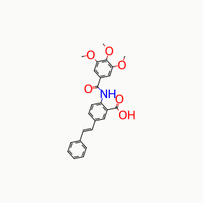 COc1cc(C(=O)Nc2ccc(C=Cc3ccccc3)cc2C(=O)O)cc(OC)c1OC